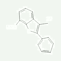 CCOC(=O)c1cccc2c(C)c(-c3ccccc3)oc12.Cl